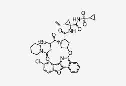 C=C[C@@H]1C[C@]1(NC(=O)[C@@H]1C[C@@H](Oc2nc3c4cc(Cl)ccc4oc3c3ccccc23)CN1C(=O)[C@@H](CC(=O)N1CCCCC1)C(C)(C)C)C(=O)NS(=O)(=O)C1CC1